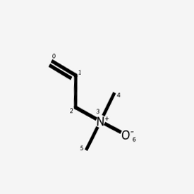 C=CC[N+](C)(C)[O-]